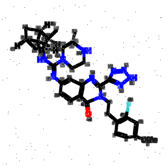 COc1ccc(CCn2c(-c3nn[nH]n3)nc3cc(N=C(N[C@H]4C[C@@H]5C[C@@H]([C@H]4C)C5(C)C)N4CCN[C@@H](C)C4)ccc3c2=O)c(F)c1